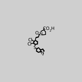 Cn1ccc2cc(Sc3ccc(C=CC(=O)N4CCCC(C(=O)O)C4)c(Cl)c3Cl)ccc21